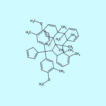 COc1ccc(C(C2=CC=CC2)(c2ccc(OC)c(C)c2)C2C3C=CC=C(C)C3(C)C3(C)C4(C)C=CC=CC4(C)C4(C)C=CC=CC4(C)C23C)cc1C